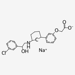 O=C([O-])COc1cccc(C2CCCC(NCC(O)c3cccc(Cl)c3)C2)c1.[Na+]